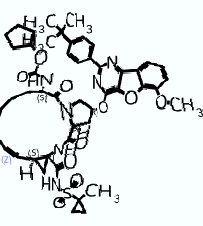 COc1cccc2c1oc1c(O[C@@H]3C[C@H]4C(=O)N[C@]5(C(=O)NS(=O)(=O)C6(C)CC6)C[C@H]5/C=C\CCCCC[C@H](NC(=O)OC5CCCC5)C(=O)N4C3)nc(-c3ccc(C(C)(C)C)cc3)nc12